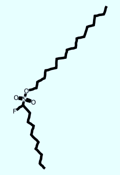 CCCCCCCCCCCCCCCCOS(=O)(=O)C(F)CCCCCCCCC